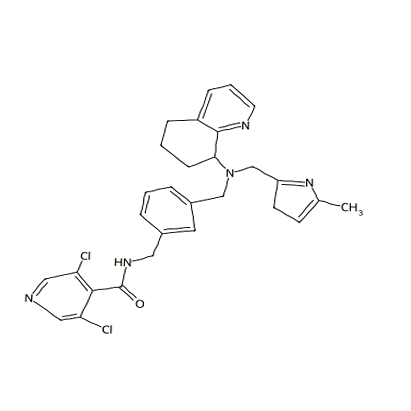 CC1=CCC(CN(Cc2cccc(CNC(=O)c3c(Cl)cncc3Cl)c2)C2CCCc3cccnc32)=N1